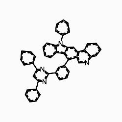 c1ccc(-c2cc(-c3ccccc3)nc(-c3cccc(-c4c5cnc6ccccc6c5cc5c4c4ccccc4n5-c4ccccc4)c3)n2)cc1